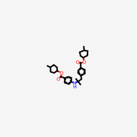 CC1CCC(OC(=O)c2ccc(CC(C)(C)Nc3ccc(C(=O)OC4CCC(C)CC4)cc3)cc2)CC1